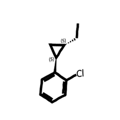 CC[C@H]1C[C@@H]1c1ccccc1Cl